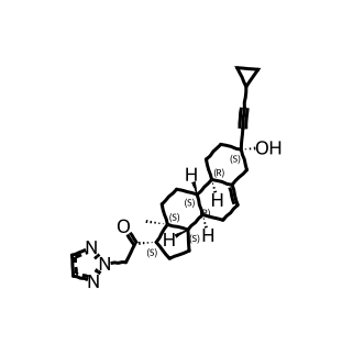 C[C@]12CC[C@H]3[C@@H](CC=C4C[C@](O)(C#CC5CC5)CC[C@@H]43)[C@@H]1CC[C@@H]2C(=O)Cn1nccn1